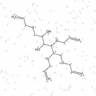 C=CCOCC(O)C(O)C(OCC=C)C(COCC=C)OCC=C